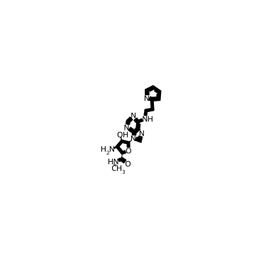 CNC(=O)[C@H]1O[C@@H](n2cnc3c(NCCc4ccccn4)ncnc32)[C@@H](O)[C@@H]1N